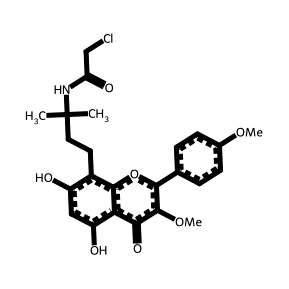 COc1ccc(-c2oc3c(CCC(C)(C)NC(=O)CCl)c(O)cc(O)c3c(=O)c2OC)cc1